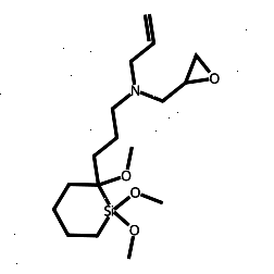 C=CCN(CCCC1(OC)CCCC[Si]1(OC)OC)CC1CO1